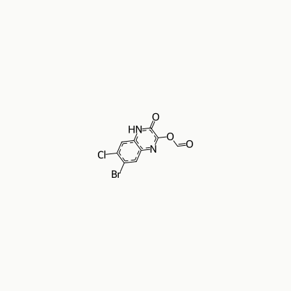 O=COc1nc2cc(Br)c(Cl)cc2[nH]c1=O